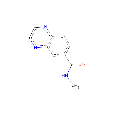 [CH2]NC(=O)c1ccc2nccnc2c1